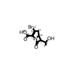 CC(O)C1C(=O)N2C(C(=O)O)=C(Br)CC12